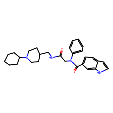 O=C(CN(C(=O)c1ccc2cc[nH]c2c1)c1ccccc1)NCC1CCN(C2CCCCC2)CC1